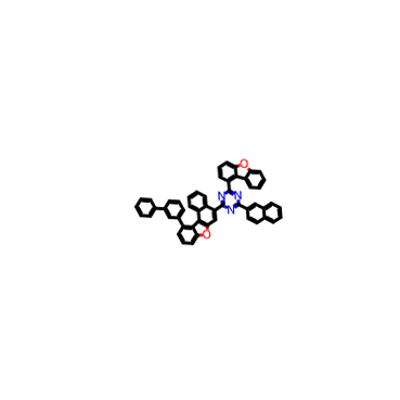 c1ccc(-c2cccc(-c3cccc4oc5cc(-c6nc(-c7ccc8ccccc8c7)nc(-c7cccc8oc9ccccc9c78)n6)c6ccccc6c5c34)c2)cc1